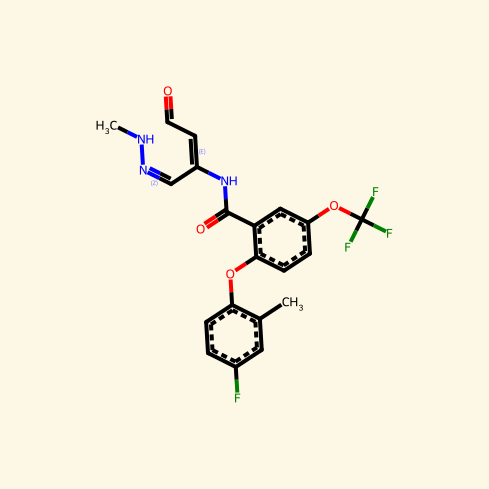 CN/N=C\C(=C/C=O)NC(=O)c1cc(OC(F)(F)F)ccc1Oc1ccc(F)cc1C